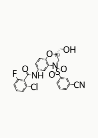 N#Cc1cccc(S(=O)(=O)N2C[C@@H](CO)Oc3ccc(NC(=O)c4c(F)cccc4Cl)cc32)c1